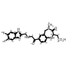 CN1Cc2cc(C(=O)CNCc3nc4cc(F)c(F)cc4[nH]3)ccc2NC(CC(=O)O)C1=O